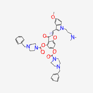 COc1ccc2c(c1)c(/C=C1\Oc3cc(OC(=O)N4CCN(Cc5ccccc5)CC4)cc(OC(=O)N4CCN(Cc5ccccc5)CC4)c3C1=O)cn2CCCN(C)C